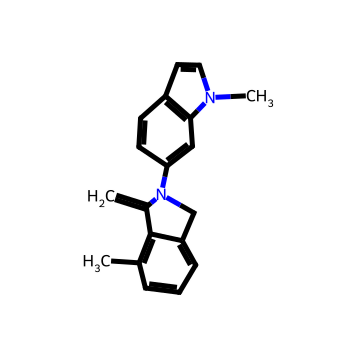 C=C1c2c(C)cccc2CN1c1ccc2ccn(C)c2c1